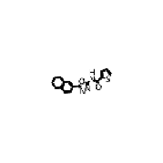 O=C(Nc1nnc(-c2ccc3c(c2)CCCC3)o1)c1cccs1